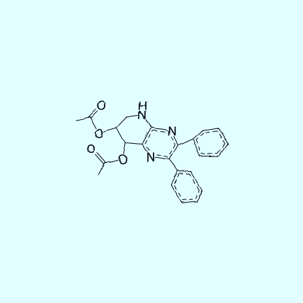 CC(=O)OC1CNc2nc(-c3ccccc3)c(-c3ccccc3)nc2C1OC(C)=O